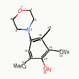 COc1cc(N2CCOCC2)c(C)c(OC)c1O